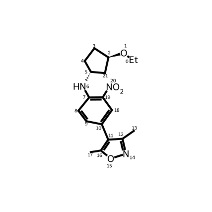 CCO[C@@H]1CC[C@@H](Nc2ccc(-c3c(C)noc3C)cc2[N+](=O)[O-])C1